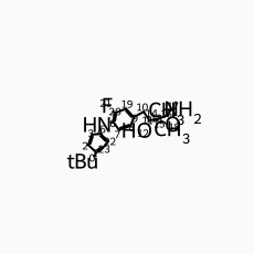 CC(C)(C)c1ccc(Nc2ccc(CC(O)C(C)(C)C(N)=O)cc2F)cc1